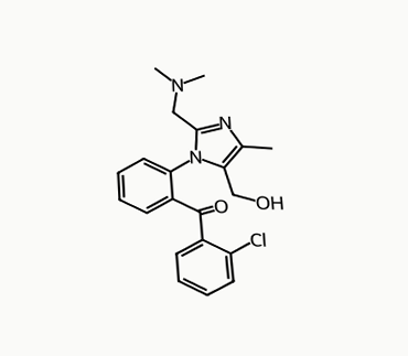 Cc1nc(CN(C)C)n(-c2ccccc2C(=O)c2ccccc2Cl)c1CO